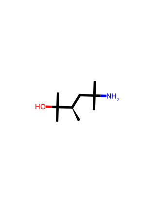 C[C@H](CC(C)(C)N)C(C)(C)O